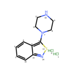 Cl.Cl.c1ccc2c(N3CCNCC3)snc2c1